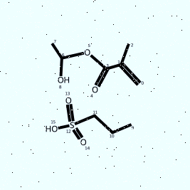 C=C(C)C(=O)OC(C)O.CCCS(=O)(=O)O